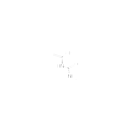 C=C(O)NC(N)=O